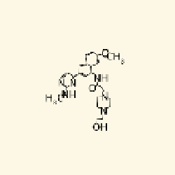 CNc1nccc(-c2cc(NC(=O)CN3CCN(CCO)CC3)c3cc(OC)ccc3c2)n1